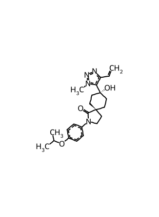 C=Cc1nnn(C)c1[C@]1(O)CC[C@]2(CCN(c3ccc(OC(C)C)cc3)C2=O)CC1